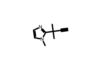 C#CC(C)(C)c1nccn1C